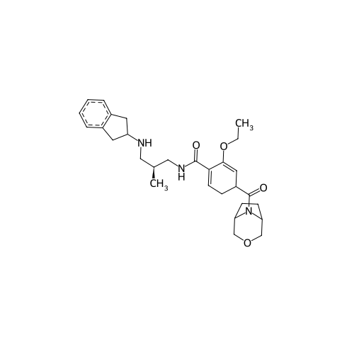 CCOC1=CC(C(=O)N2C3CCC2COC3)CC=C1C(=O)NC[C@@H](C)CNC1Cc2ccccc2C1